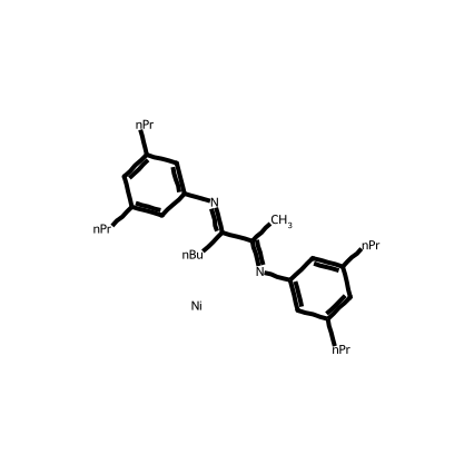 CCCCC(=N\c1cc(CCC)cc(CCC)c1)/C(C)=N/c1cc(CCC)cc(CCC)c1.[Ni]